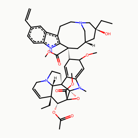 C=Cc1ccc2[nH]c3c(c2c1)CCN1C[C@H](C[C@@](O)(CC)C1)C[C@]3(C(=O)OC)C1C=C2C(=CC1OC)N(C)[C@@]13O[C@]1(C(=O)OC)[C@H](OC(C)=O)[C@]1(CC)C=CCN4CC[C@]23[C@@H]41